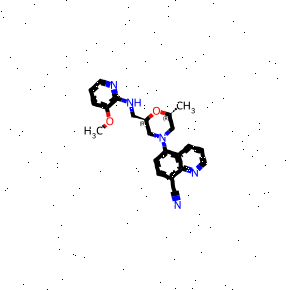 COc1cccnc1NC[C@@H]1CN(c2ccc(C#N)c3ncccc23)C[C@@H](C)O1